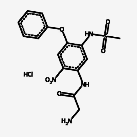 CS(=O)(=O)Nc1cc(NC(=O)CN)c([N+](=O)[O-])cc1Oc1ccccc1.Cl